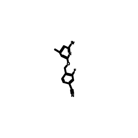 Cc1cc(Br)nc(OCc2ccc(C#N)cc2F)c1